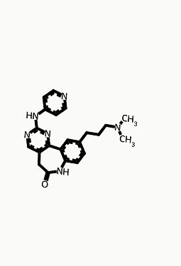 CN(C)CCCc1ccc2c(c1)-c1nc(Nc3ccncc3)ncc1CC(=O)N2